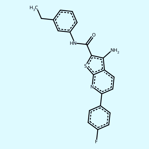 CCc1cccc(NC(=O)c2sc3nc(-c4ccc(F)cc4)ccc3c2N)c1